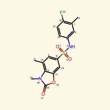 Cc1cc(NS(=O)(=O)c2cc(C)c3c(c2)oc(=O)n3C)ccc1F